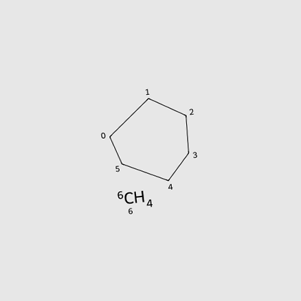 C1CCCCC1.[6CH4]